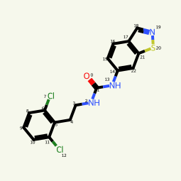 O=C(NCCc1c(Cl)cccc1Cl)Nc1ccc2cnsc2c1